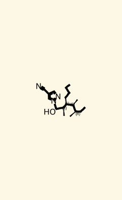 CCCC[C@@H]([C@@H](C)[C@H](C)CC)[C@@H](C)C(O)n1cc(C#N)cn1